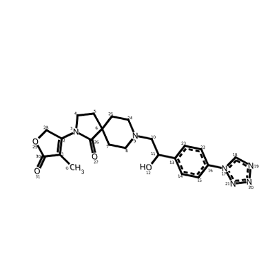 CC1=C(N2CCC3(CCN(CC(O)c4ccc(-n5cnnn5)cc4)CC3)C2=O)COC1=O